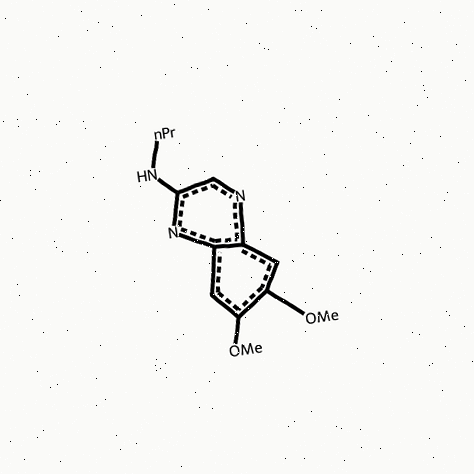 CCCNc1cnc2cc(OC)c(OC)cc2n1